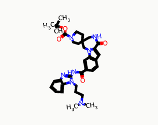 CN(C)CCCn1c(NC(=O)c2ccc3cc4n(c3c2)CC2(CCN(C(=O)OC(C)(C)C)CC2)CNC4=O)nc2ccccc21